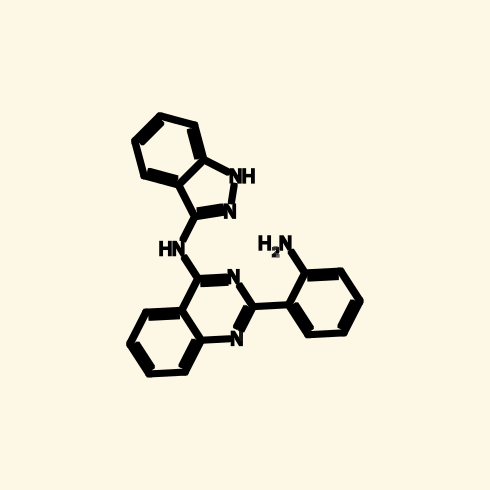 Nc1ccccc1-c1nc(Nc2n[nH]c3ccccc23)c2ccccc2n1